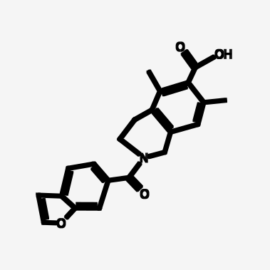 Cc1cc2c(c(C)c1C(=O)O)CCN(C(=O)c1ccc3ccoc3c1)C2